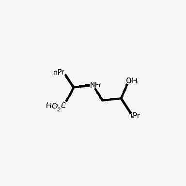 CCCC(NCC(O)C(C)C)C(=O)O